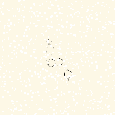 CS(=O)(=O)N1CCN(c2nncc3cc(Oc4ccc(F)cc4)ccc23)CC1